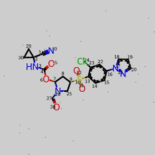 N#CC1(NC(=O)O[C@H]2C[C@@H](S(=O)(=O)c3ccc(-n4cccn4)cc3Cl)CN2C=O)CC1